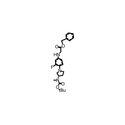 CN(C(=O)OC(C)(C)C)[C@@H]1CCN(c2ccc(NCC(=O)OCc3ccccc3)cc2F)C1